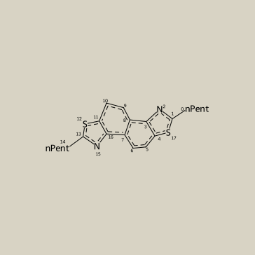 CCCCCc1nc2c(ccc3c2ccc2sc(CCCCC)nc23)s1